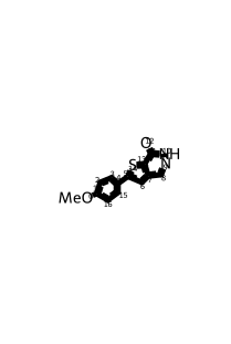 COc1ccc(-c2cc3cn[nH]c(=O)c3s2)cc1